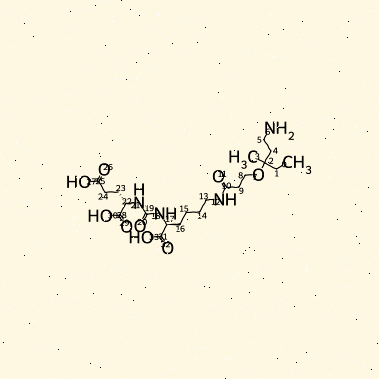 CCC(C)(CCN)OCCC(=O)NCCCC[C@H](NC(=O)N[C@@H](CCC(=O)O)C(=O)O)C(=O)O